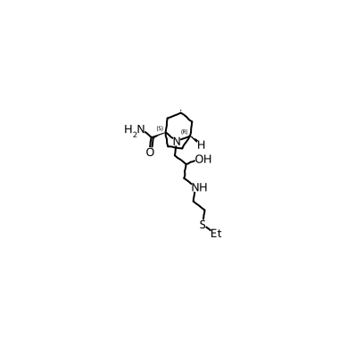 CCSCCNCC(O)CN1[C@@H]2C[CH]C[C@@]1(C(N)=O)CC2